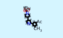 CC(=O)c1cc(C)cc(-c2cc(C3CCN(C(=O)OC(C)(C)C)CC3)ccn2)c1